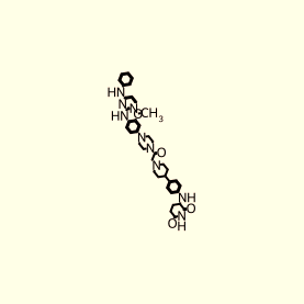 COc1cc(N2CCN(C(=O)CN3CCC(c4ccc(NC5CCC(=O)NC5=O)cc4)CC3)CC2)ccc1Nc1nccc(Nc2ccccc2)n1